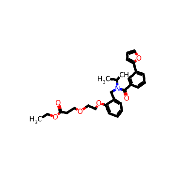 CCOC(=O)CCOCCOc1ccccc1CN(C(=O)c1cccc(-c2ccco2)c1)C(C)C